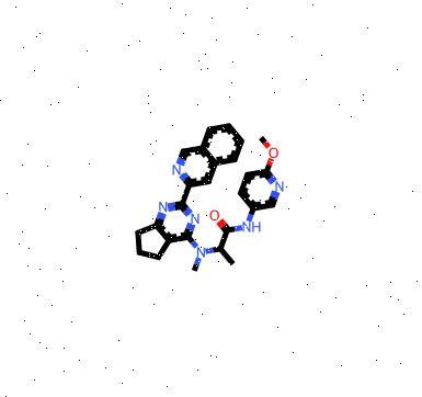 COc1ccc(NC(=O)C(C)N(C)c2nc(-c3cc4ccccc4cn3)nc3c2CCC3)cn1